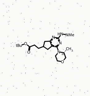 CNNc1nc2c(c(N3CCOC[C@H]3C)n1)CC(CCC(=O)OC(C)(C)C)C2